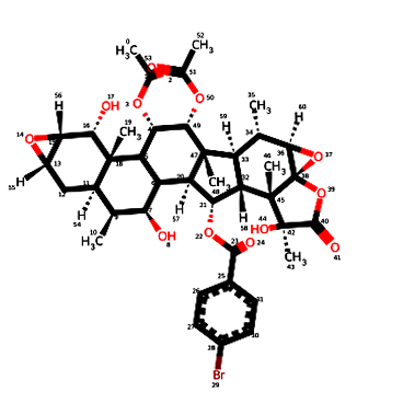 CC(=O)O[C@H]1C2C([C@@H](O)[C@@H](C)[C@H]3C[C@@H]4O[C@@H]4[C@H](O)[C@]23C)[C@@H]2[C@@H](OC(=O)c3ccc(Br)cc3)[C@@H]3[C@H]([C@H](C)[C@H]4O[C@]45OC(=O)[C@@](C)(O)[C@]35C)[C@@]2(C)[C@H]1OC(C)=O